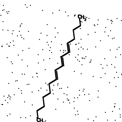 [CH2]CCCC=CC=CC=CCCCCC[CH2]